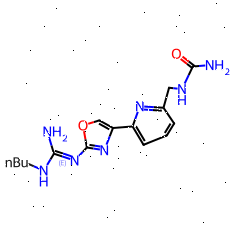 CCCCN/C(N)=N/c1nc(-c2cccc(CNC(N)=O)n2)co1